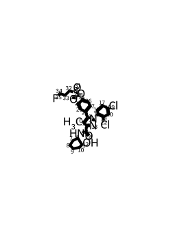 Cc1c(C(=O)N[C@H]2CCCC[C@H]2O)nn(-c2ccc(Cl)cc2Cl)c1-c1ccc(OS(=O)(=O)CCCF)cc1